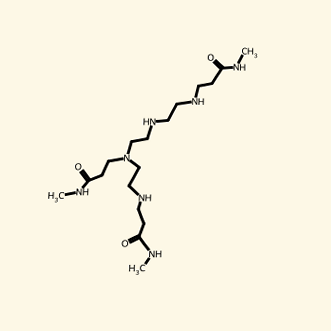 CNC(=O)CCNCCNCCN(CCNCCC(=O)NC)CCC(=O)NC